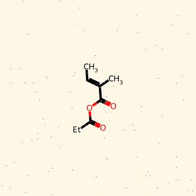 CC=C(C)C(=O)OC(=O)CC